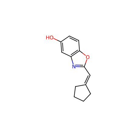 Oc1ccc2oc(C=C3CCCC3)nc2c1